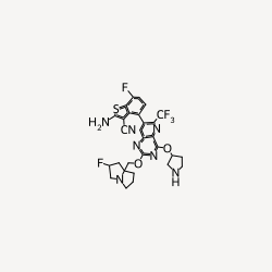 N#Cc1c(N)sc2c(F)ccc(-c3cc4nc(OCC56CCCN5CC(F)C6)nc(OC5CCNC5)c4nc3C(F)(F)F)c12